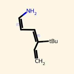 C=C/C(=C\C=C/N)C(C)(C)C